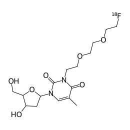 Cc1cn(C2CC(O)C(CO)O2)c(=O)n(CCOCCOCC[18F])c1=O